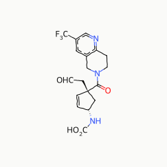 O=CC[C@]1(C(=O)N2CCc3ncc(C(F)(F)F)cc3C2)C=C[C@@H](NC(=O)O)C1